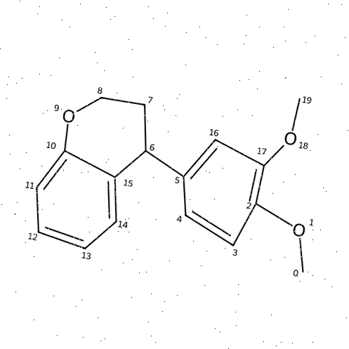 COc1ccc(C2CCOc3ccccc32)cc1OC